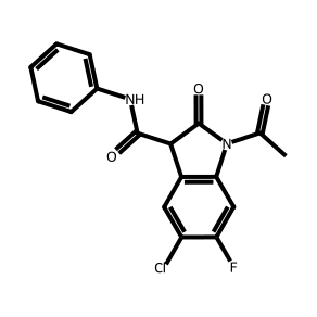 CC(=O)N1C(=O)C(C(=O)Nc2ccccc2)c2cc(Cl)c(F)cc21